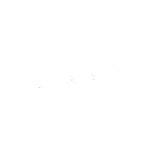 C=CC(=O)OCCOCCOC(=O)c1ccc(OC(=O)C2CCC(C(=O)Oc3ccc(OC(=O)C4CCC(C(=O)OCCOCCOC(=O)C=C)CC4)cc3C(=O)OC)CC2)cc1